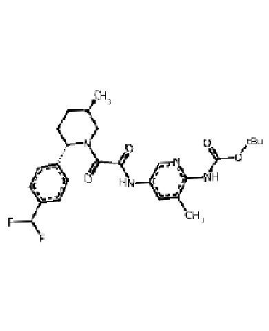 Cc1cc(NC(=O)C(=O)N2C[C@H](C)CC[C@H]2c2ccc(C(F)F)cc2)cnc1NC(=O)OC(C)(C)C